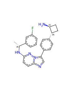 C[C@@H](Nc1ccc2ncc(-c3ccc([C@H]4CC[C@@H]4N)cc3)n2n1)c1cccc(F)c1